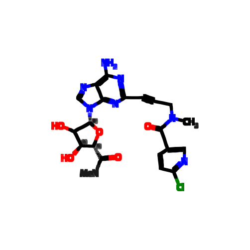 CNC(=O)[C@H]1O[C@@H](n2cnc3c(N)nc(C#CCN(C)C(=O)c4ccc(Cl)nc4)nc32)C(O)[C@@H]1O